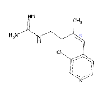 C/C(=C/c1ccncc1Cl)CCNC(=N)N